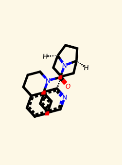 O=C(N1CCCc2ccccc21)N1[C@@H]2CC[C@H]1C[C@H](c1ccccn1)C2